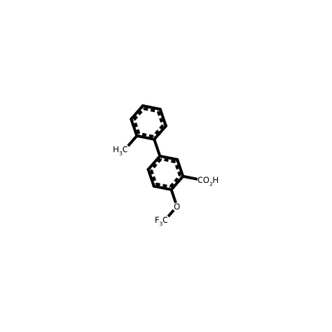 Cc1ccccc1-c1ccc(OC(F)(F)F)c(C(=O)O)c1